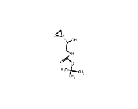 CC(C)(C)OC(=O)NCC(O)[C@H]1CO1